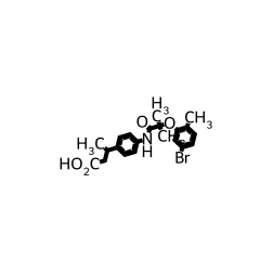 Cc1ccc(Br)cc1OC(C)(C)C(=O)Nc1ccc(C(C)CC(=O)O)cc1